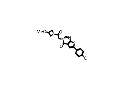 COC1CN(C(=O)Cn2cnc3sc(-c4ccc(Cl)cc4)cc3c2=O)C1